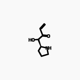 C=CC(=O)C(O)[C@@H]1CCCN1